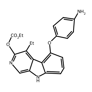 CCOC(=O)Oc1ncc2[nH]c3cccc(Oc4ccc(N)cc4)c3c2c1CC